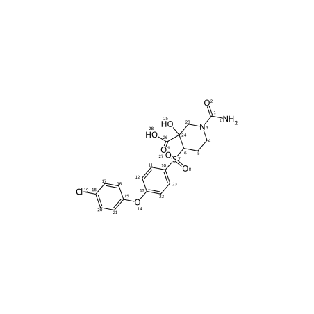 NC(=O)N1CCC(S(=O)(=O)c2ccc(Oc3ccc(Cl)cc3)cc2)C(O)(C(=O)O)C1